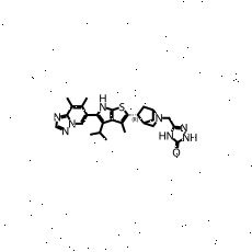 Cc1c(-c2[nH]c3sc([C@@H]4CC5CC4CN5Cc4n[nH]c(=O)[nH]4)c(C)c3c2C(C)C)cn2ncnc2c1C